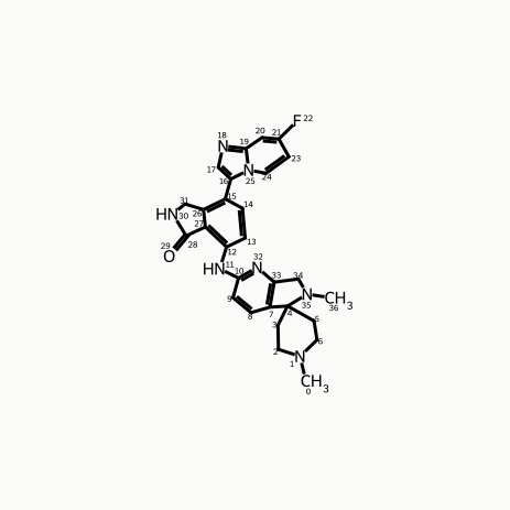 CN1CCC2(CC1)c1ccc(Nc3ccc(-c4cnc5cc(F)ccn45)c4c3C(=O)NC4)nc1CN2C